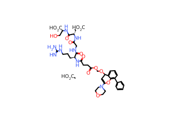 CC(=O)O.N=C(N)NCCC[C@H](NC(=O)CCC(=O)OCOC1C=C(N2CCOCC2)Oc2c(-c3ccccc3)cccc21)C(=O)NCC(=O)N[C@@H](CC(=O)O)C(=O)N[C@@H](CO)C(=O)O